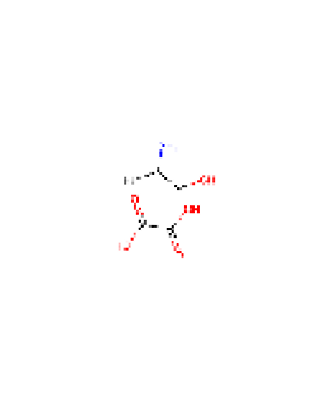 CCC(N)CO.O=C(O)C(=O)O